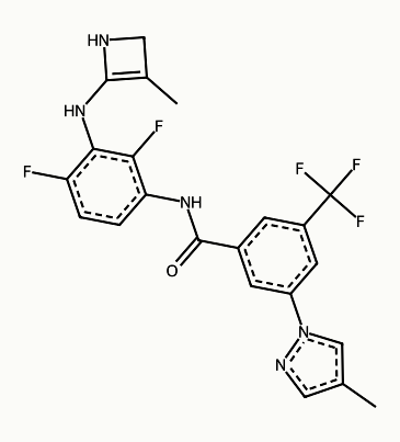 CC1=C(Nc2c(F)ccc(NC(=O)c3cc(-n4cc(C)cn4)cc(C(F)(F)F)c3)c2F)NC1